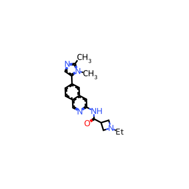 CCN1CC(C(=O)Nc2cc3cc(-c4cnc(C)n4C)ccc3cn2)C1